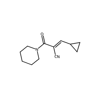 N#C/C(=C\C1CC1)C(=O)N1CCCCC1